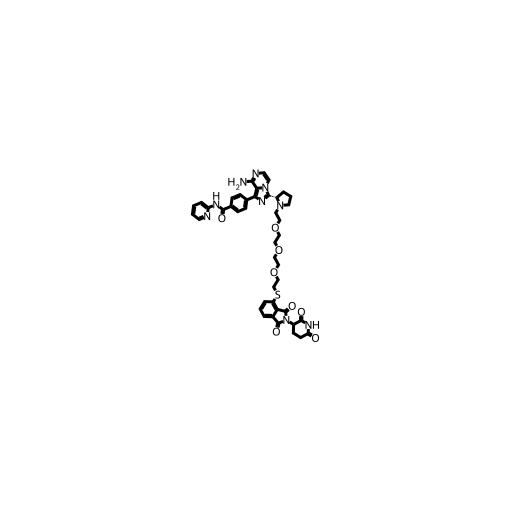 Nc1nccn2c([C@@H]3CCCN3CCOCCOCCOCCSc3cccc4c3C(=O)N(C3CCC(=O)NC3=O)C4=O)nc(-c3ccc(C(=O)Nc4ccccn4)cc3)c12